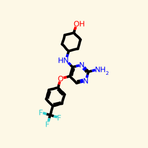 Nc1ncc(Oc2ccc(C(F)(F)F)cc2)c(NC2CCC(O)CC2)n1